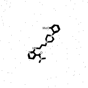 COc1ccccc1N1CCN(CCCNc2ncccc2C(=O)N(C)C)CC1